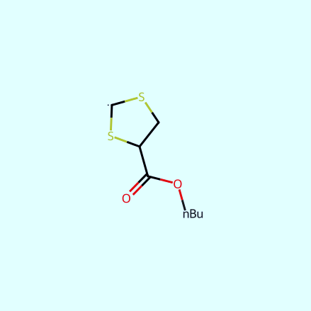 CCCCOC(=O)C1CS[CH]S1